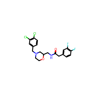 O=C(Cc1ccc(F)c(F)c1)NCC1CN(Cc2ccc(Cl)c(Cl)c2)CCO1